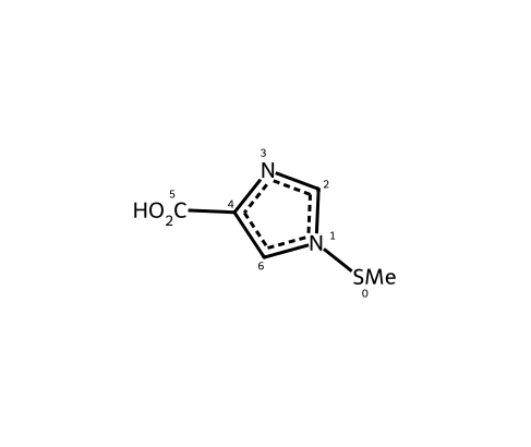 CSn1cnc(C(=O)O)c1